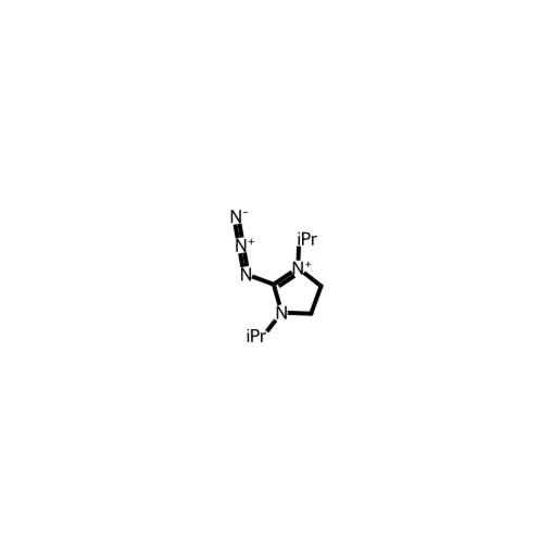 CC(C)N1CC[N+](C(C)C)=C1N=[N+]=[N-]